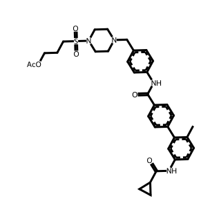 CC(=O)OCCCS(=O)(=O)N1CCN(Cc2ccc(NC(=O)c3ccc(-c4cc(NC(=O)C5CC5)ccc4C)cc3)cc2)CC1